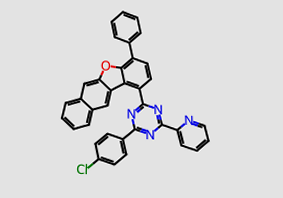 Clc1ccc(-c2nc(-c3ccccn3)nc(-c3ccc(-c4ccccc4)c4oc5cc6ccccc6cc5c34)n2)cc1